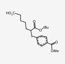 COC(=O)c1ccc(SC(CCCCC(=O)O)C(=O)OC(C)(C)C)cc1